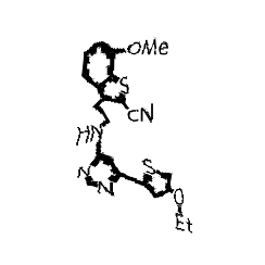 CCOc1csc(-c2cc(NCCc3c(C#N)sc4c(OC)cccc34)ncn2)c1